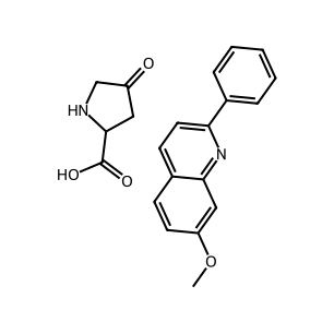 COc1ccc2ccc(-c3ccccc3)nc2c1.O=C1CNC(C(=O)O)C1